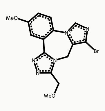 COCc1nnc2n1Cc1c(Br)ncn1-c1ccc(OC)cc1-2